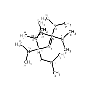 CN(C)C[PH](N=P(N(C)C)(N(C)C)N(C)C)(N(C)C)N(C)C